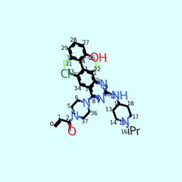 C=CC(=O)N1CCN(c2nc(NC3CCN(C(C)C)CC3)nc3c(F)c(-c4c(O)cccc4F)c(Cl)cc23)CC1